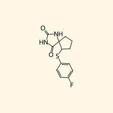 O=C1NC(=O)C2(CCCC2Sc2ccc(F)cc2)N1